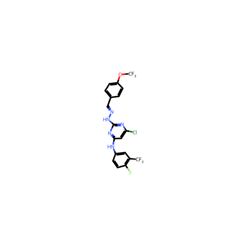 Fc1ccc(Nc2cc(Cl)nc(NN=Cc3ccc(OC(F)(F)F)cc3)n2)cc1C(F)(F)F